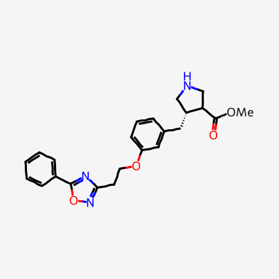 COC(=O)C1CNC[C@H]1Cc1cccc(OCCc2noc(-c3ccccc3)n2)c1